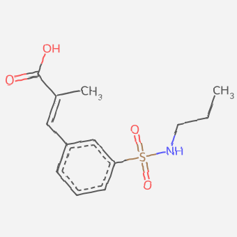 CCCNS(=O)(=O)c1cccc(/C=C(\C)C(=O)O)c1